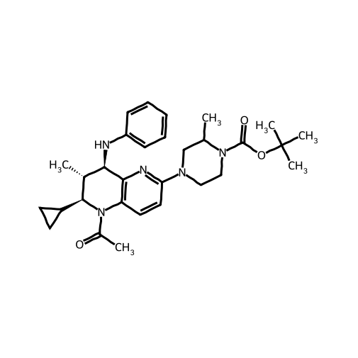 CC(=O)N1c2ccc(N3CCN(C(=O)OC(C)(C)C)C(C)C3)nc2[C@H](Nc2ccccc2)[C@@H](C)[C@@H]1C1CC1